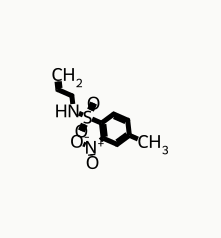 C=CCNS(=O)(=O)c1ccc(C)cc1[N+](=O)[O-]